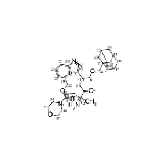 CC(C)(N)C(=O)C[C@@H](COCC12CC3CC(CC(C3)C1)C2)c1nnc2cccc(COC(=O)N3CCOCC3)n12